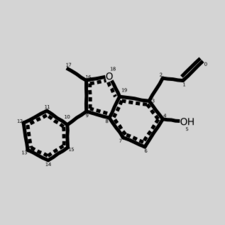 C=CCc1c(O)ccc2c(-c3ccccc3)c(C)oc12